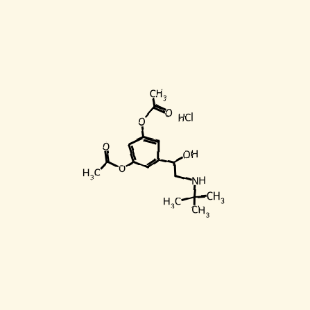 CC(=O)Oc1cc(OC(C)=O)cc(C(O)CNC(C)(C)C)c1.Cl